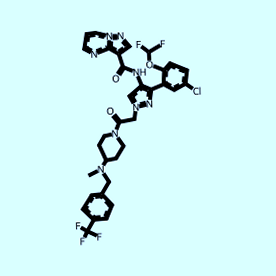 CN(Cc1ccc(C(F)(F)F)cc1)C1CCN(C(=O)Cn2cc(NC(=O)c3cnn4cccnc34)c(-c3cc(Cl)ccc3OC(F)F)n2)CC1